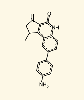 CC1CNc2c1c1cc(-c3ccc(N)cc3)ccc1[nH]c2=O